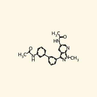 CC(=O)Nc1cccc(-c2cccc(-c3nn(C)c4ncc(NC(C)=O)cc34)c2)c1